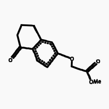 COC(=O)COc1ccc2c(c1)CCCC2=O